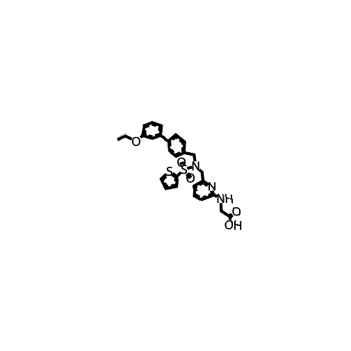 CCOc1cccc(-c2ccc(CN(Cc3cccc(NCC(=O)O)n3)S(=O)(=O)c3cccs3)cc2)c1